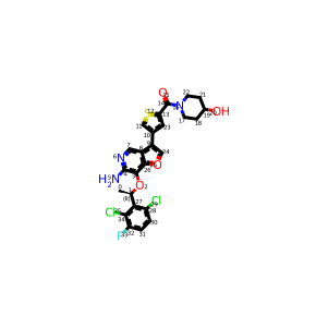 C[C@@H](Oc1c(N)ncc2c(-c3csc(C(=O)N4CCC(O)CC4)c3)coc12)c1c(Cl)ccc(F)c1Cl